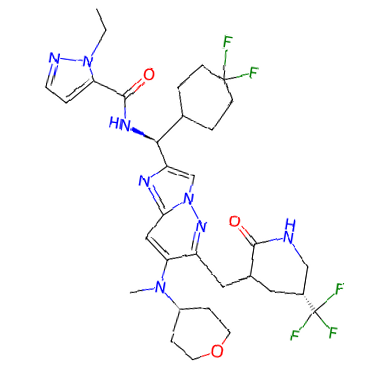 CCn1nccc1C(=O)N[C@H](c1cn2nc(CC3C[C@@H](C(F)(F)F)CNC3=O)c(N(C)C3CCOCC3)cc2n1)C1CCC(F)(F)CC1